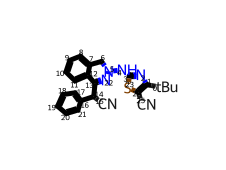 CC(C)(C)c1nc(NN2Cc3ccccc3C(C(C#N)c3ccccc3)=N2)sc1C#N